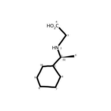 C[C@H](NCC(=O)O)C1CCCCC1